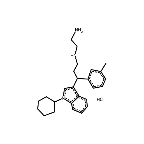 Cc1cccc(C(CCNCCN)c2cn(C3CCCCC3)c3ccccc23)c1.Cl